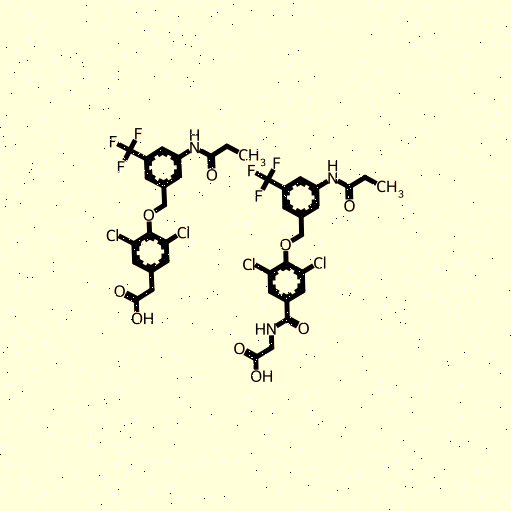 CCC(=O)Nc1cc(COc2c(Cl)cc(C(=O)NCC(=O)O)cc2Cl)cc(C(F)(F)F)c1.CCC(=O)Nc1cc(COc2c(Cl)cc(CC(=O)O)cc2Cl)cc(C(F)(F)F)c1